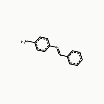 [AlH2][c]1ccc(N=Nc2ccccc2)cc1